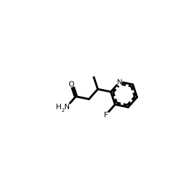 CC(CC(N)=O)c1ncccc1F